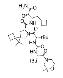 CC1(C)CN(C(=O)[C@@H](NC(=O)N[C@H](C(=O)N2C[C@]3(C[C@H]2C(=O)NC(CC2CCC2)C(=O)C(N)=O)C(C)(C)C32CCC2)C(C)(C)C)C(C)(C)C)CCO1